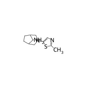 Cc1ncc(N2CC3CCC(C2)C3N)s1